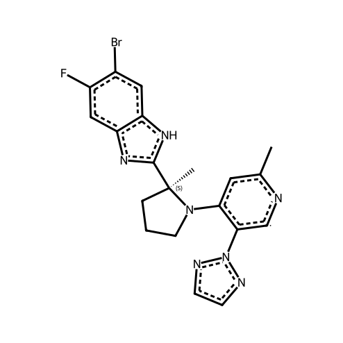 Cc1cc(N2CCC[C@@]2(C)c2nc3cc(F)c(Br)cc3[nH]2)c(-n2nccn2)[c]n1